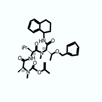 C=C(C)OC(=O)N(C)[C@@H](C)C(=O)N[C@H](C(=O)N(C)[C@H](C(=O)NC1CCCc2ccccc21)C(C)OCc1ccccc1)C(C)C